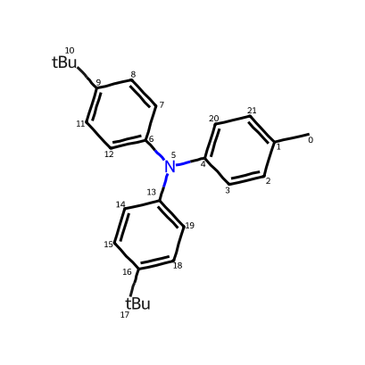 Cc1ccc(N(c2ccc(C(C)(C)C)cc2)c2ccc(C(C)(C)C)cc2)cc1